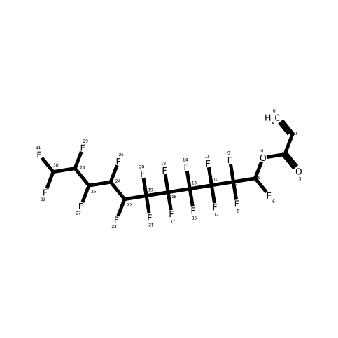 C=CC(=O)OC(F)C(F)(F)C(F)(F)C(F)(F)C(F)(F)C(F)(F)C(F)C(F)C(F)C(F)C(F)F